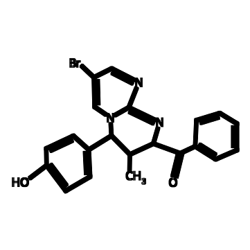 CC1C(C(=O)c2ccccc2)N=C2N=CC(Br)=CN2C1c1ccc(O)cc1